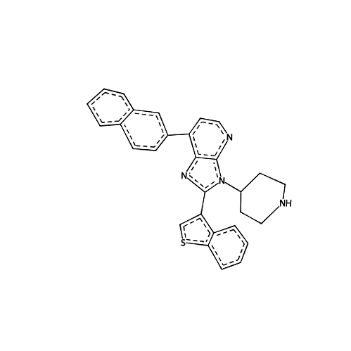 c1ccc2cc(-c3ccnc4c3nc(-c3csc5ccccc35)n4C3CCNCC3)ccc2c1